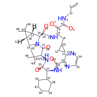 C=CCNC(=O)C(=O)C(CC1CC1)NC(=O)[C@@H]1[C@@H]2[C@H](CN1C(=O)[C@@H](NC(=O)[C@@H](NC(=O)c1cnccn1)C1CCCCC1)C(C)(C)C)C2(C)C